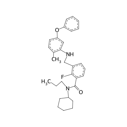 CCCN(C(=O)c1cccc(CNc2cc(Oc3ccccc3)ccc2C)c1F)C1CCCCC1